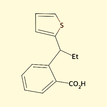 CCC(c1cccs1)c1ccccc1C(=O)O